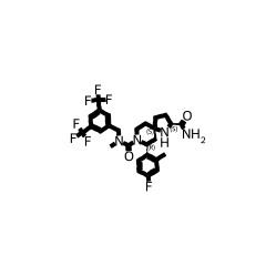 Cc1cc(F)ccc1[C@H]1C[C@]2(CC[C@@H](C(N)=O)N2)CCN1C(=O)N(C)Cc1cc(C(F)(F)F)cc(C(F)(F)F)c1